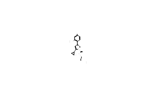 C=CCNC(=O)n1nc(-c2ccc(F)cc2O)cc1C1CC1